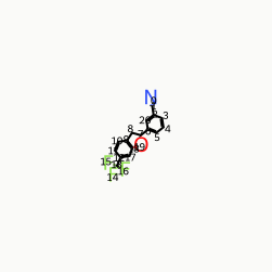 N#Cc1cccc(C2Cc3ccc(C(F)(F)F)cc3O2)c1